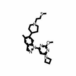 COc1nc(N2CCC2)cc(-n2ncc3cc(C)c(C4CCN(CCSC)CC4)cc32)n1